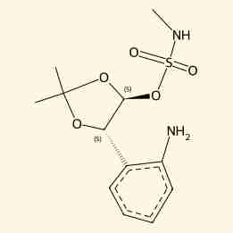 CNS(=O)(=O)O[C@@H]1OC(C)(C)O[C@H]1c1ccccc1N